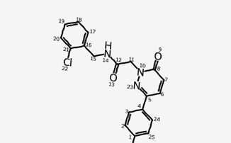 CCc1ccc(-c2ccc(=O)n(CC(=O)NCc3ccccc3Cl)n2)cc1